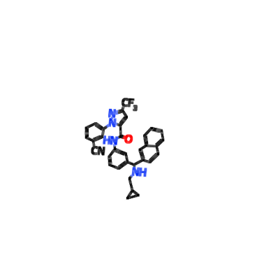 N#Cc1cccc(-n2nc(C(F)(F)F)cc2C(=O)Nc2cccc(C(NCC3CC3)c3ccc4ccccc4c3)c2)c1